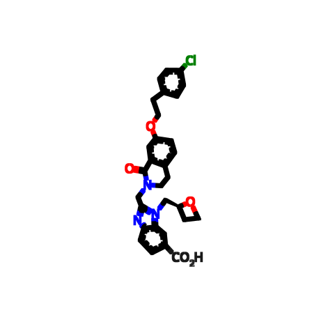 O=C(O)c1ccc2nc(CN3CCc4ccc(OCCc5ccc(Cl)cc5)cc4C3=O)n(C[C@@H]3CCO3)c2c1